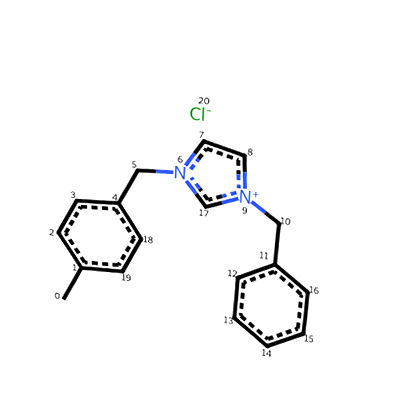 Cc1ccc(Cn2cc[n+](Cc3ccccc3)c2)cc1.[Cl-]